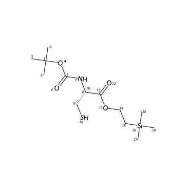 CC(C)(C)OC(=O)N[C@@H](CS)C(=O)OCC[Si](C)(C)C